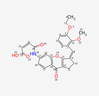 CCOc1cccc(/C=C2/CCc3c2oc2cc(NC(=O)/C=C\C(=O)O)ccc2c3=O)c1OC